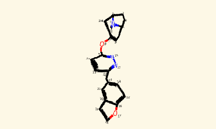 CN1C2CCC1CC(Oc1ccc(-c3ccc4occc4c3)nn1)C2